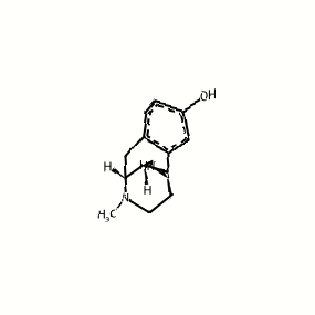 CN1CC[C@]23CCNC[C@H]2[C@H]1Cc1ccc(O)cc13